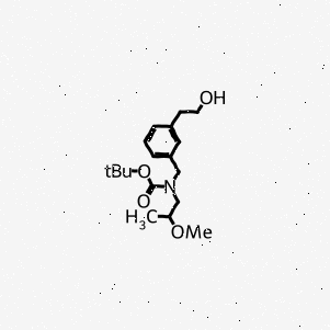 COC(C)CN(Cc1cccc(CCO)c1)C(=O)OC(C)(C)C